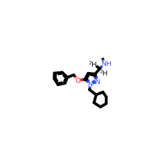 [2H]C([2H])(NC)c1cc(OCc2ccccc2)n(CC2CCCCC2)n1